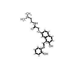 CN(C)CCNC(=O)COc1ccc2ccc(O)c(C=Nc3ccccc3O)c2c1